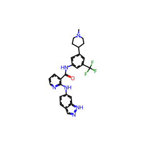 CN1CCC(c2cc(NC(=O)c3cccnc3Nc3ccc4cn[nH]c4c3)cc(C(F)(F)F)c2)CC1